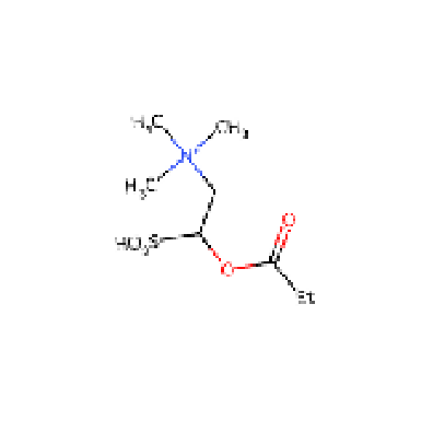 CCC(=O)OC(C[N+](C)(C)C)S(=O)(=O)O